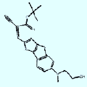 CN(CCO)c1ccc2c(c1)sc1cc(/C=C(/C#N)C(=O)OC(C)(C)C)sc12